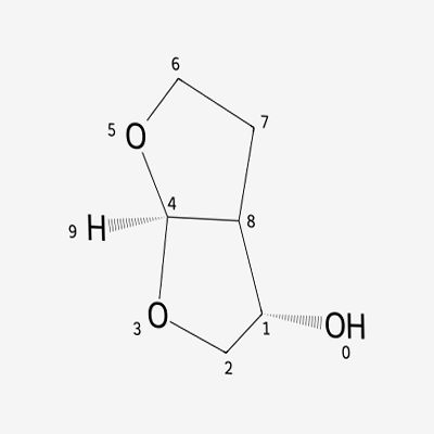 O[C@@H]1CO[C@H]2OCCC21